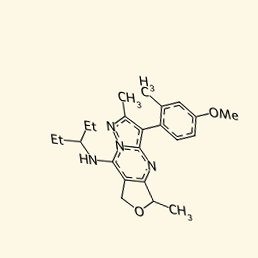 CCC(CC)Nc1c2c(nc3c(-c4ccc(OC)cc4C)c(C)nn13)C(C)OC2